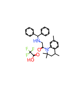 Cc1ccc2c(c1)N(C(=O)CNC(c1ccccc1)c1ccccc1)C(C)(C)CC2C.O=C(O)C(F)(F)F